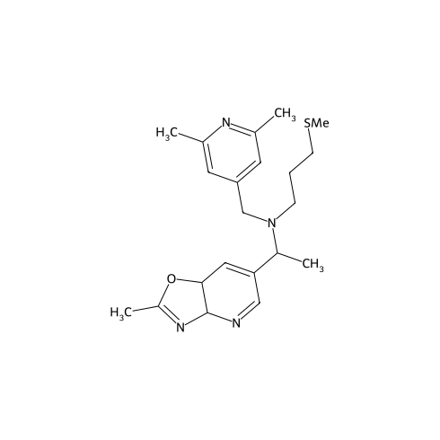 CSCCCN(Cc1cc(C)nc(C)c1)C(C)C1=CC2OC(C)=NC2N=C1